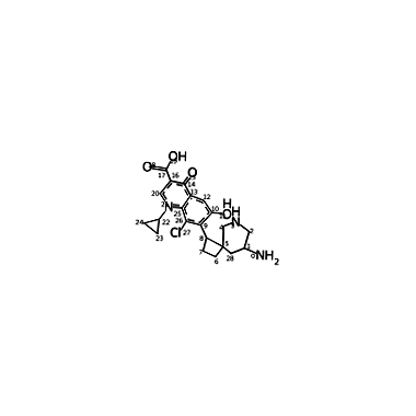 NC1CNCC2(CCC2c2c(O)cc3c(=O)c(C(=O)O)cn(C4CC4)c3c2Cl)C1